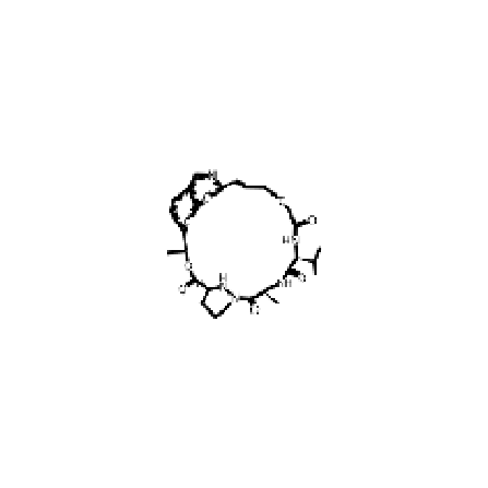 CC1OC(=O)[C@@H]2CCCN(N2)C(=O)[C@H](C)NC(=O)[C@H](C(C)C)NC(=O)CCC/C=C/c2cc3cc1ccc3cn2